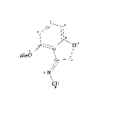 COc1cccc2c1/C(=N/O)CO2